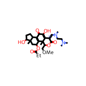 CCC(=O)OC1CC2(C)C(O)CCC2C2=C1C1(C)C(=C(O)C2=O)/C(=C/N(C)CCN(C)C)C(=O)OC1COC